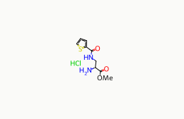 COC(=O)[C@@H](N)CNC(=O)c1cccs1.Cl